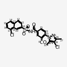 CCOC(=O)c1cc(C(=O)NS(=O)(=O)c2ccc3cccc(Cl)c3c2)ccc1-n1nc(C)c(Cl)c1C